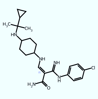 CC(C)(NC1CCC(N/C=C(\C(=N)Nc2ccc(Cl)cc2)C(N)=O)CC1)C1CC1